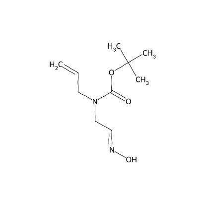 C=CCN(C/C=N/O)C(=O)OC(C)(C)C